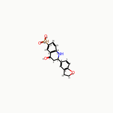 O=C1CC(c2ccc3c(c2)CCO3)Nc2ccc([SH](=O)=O)cc21